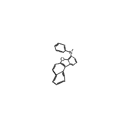 CN(c1ccccc1)c1cccc2c1oc1ccc3ccccc3c12